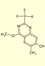 COc1nc(C(F)(F)F)nc2cc(C)c(C)cc12